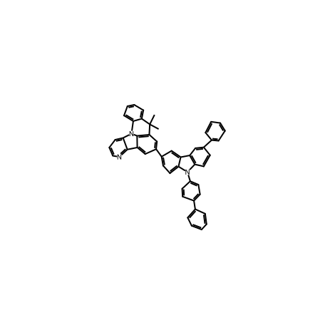 CC1(C)c2ccccc2-n2c3cccnc3c3cc(-c4ccc5c(c4)c4cc(-c6ccccc6)ccc4n5-c4ccc(-c5ccccc5)cc4)cc1c32